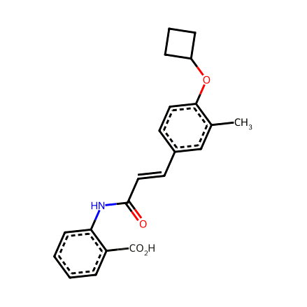 Cc1cc(/C=C/C(=O)Nc2ccccc2C(=O)O)ccc1OC1CCC1